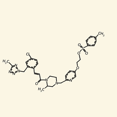 Cc1ccc(S(=O)(=O)OCCOc2ccc(CN3CCN(C(=O)C=Cc4ccc(Cl)cc4Cn4nnc(C)n4)C(C)C3)nc2)cc1